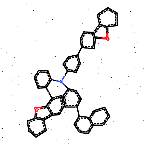 c1ccc(N(c2ccc(-c3ccc4c(c3)oc3ccccc34)cc2)c2ccc(-c3cccc4ccccc34)cc2)c(-c2cccc3c2oc2ccccc23)c1